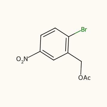 CC(=O)OCc1cc([N+](=O)[O-])ccc1Br